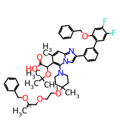 Cc1cc2nc(-c3cccc(-c4cc(F)c(F)cc4OCc4ccccc4)c3)cn2c(N2CCC(C)(OCCOC[C@@H](C)OCc3ccccc3)CC2)c1C(OC(C)(C)C)C(=O)O